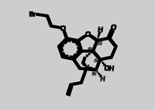 C=CCN1CC[C@]23c4c5ccc(OCCBr)c4O[C@H]2C(=O)CC[C@@]3(O)[C@H]1C5